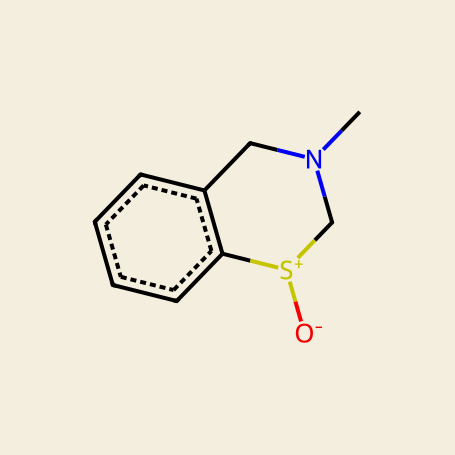 CN1Cc2ccccc2[S+]([O-])C1